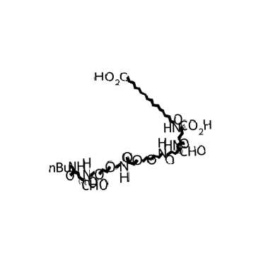 CCCCNC(=O)CC[C@@H](C=O)NC(=O)COCCOCCNC(=O)COCCOCCNC(=O)CC[C@@H](C=O)NC(=O)CC[C@H](NC(=O)CCCCCCCCCCCCCCCCC(=O)O)C(=O)O